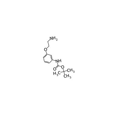 CC(C)(C)OC(=O)Nc1cccc(OCCN)c1